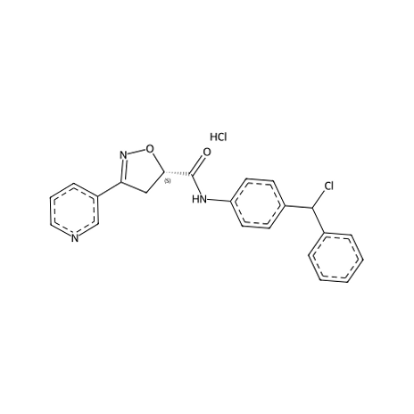 Cl.O=C(Nc1ccc(C(Cl)c2ccccc2)cc1)[C@@H]1CC(c2cccnc2)=NO1